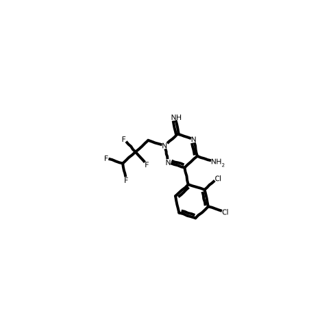 N=c1nc(N)c(-c2cccc(Cl)c2Cl)nn1CC(F)(F)C(F)F